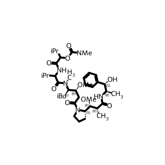 CC[C@H](C)C([C@@H](CC(=O)N1CCC[C@H]1[C@H](OC)[C@@H](C)C(=O)N[C@H](C)[C@@H](O)c1ccccc1)OC)N(C)C(=O)C(NC(=O)C(OC(=O)NC)C(C)C)C(C)C